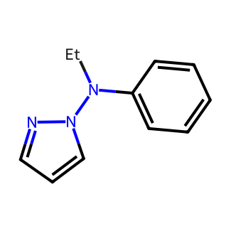 CCN(c1ccccc1)n1cccn1